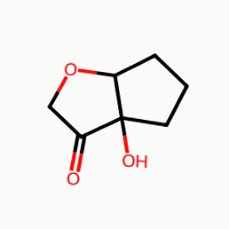 O=C1COC2CCCC12O